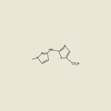 Cn1ccc(Nc2ncc(C(=O)O)s2)n1